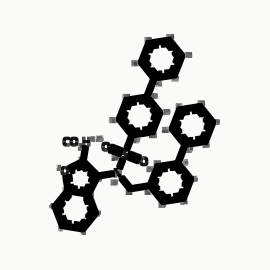 O=C(O)c1oc2ccccc2c1N(Cc1cccc(-c2ccccc2)c1)S(=O)(=O)c1ccc(-c2ccccc2)cc1